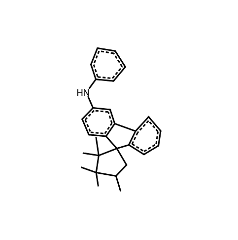 CC1CC2(c3ccccc3-c3cc(Nc4ccccc4)ccc32)C(C)(C)C1(C)C